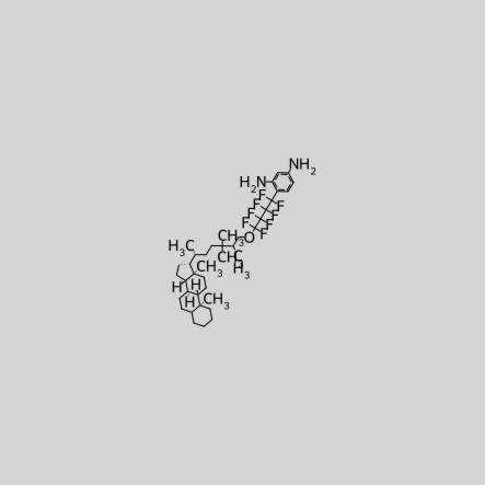 CC(COC(F)(F)C(F)(F)C(F)(F)C(F)(F)c1ccc(N)cc1N)C(C)(C)CC[C@@H](C)[C@H]1CC[C@H]2[C@@H]3CCC4CCCC[C@]4(C)[C@H]3CC[C@]12C